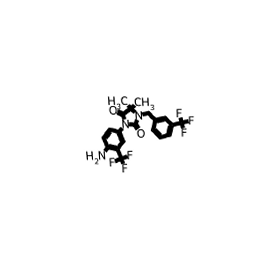 CC1(C)C(=O)N(c2ccc(N)c(C(F)(F)F)c2)C(=O)N1Cc1cccc(C(F)(F)F)c1